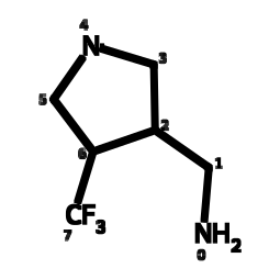 NCC1C[N]CC1C(F)(F)F